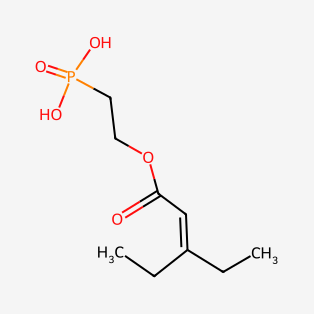 CCC(=CC(=O)OCCP(=O)(O)O)CC